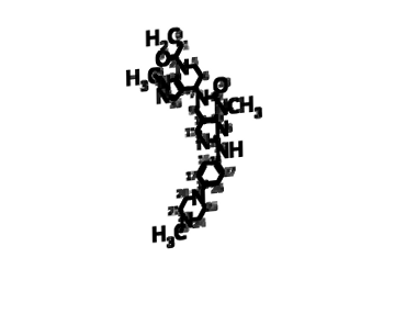 C=CC(=O)N1CCC(N2Cc3cnc(Nc4ccc(N5CCN(C)CC5)cc4)nc3N(C)C2=O)c2cnn(C)c21